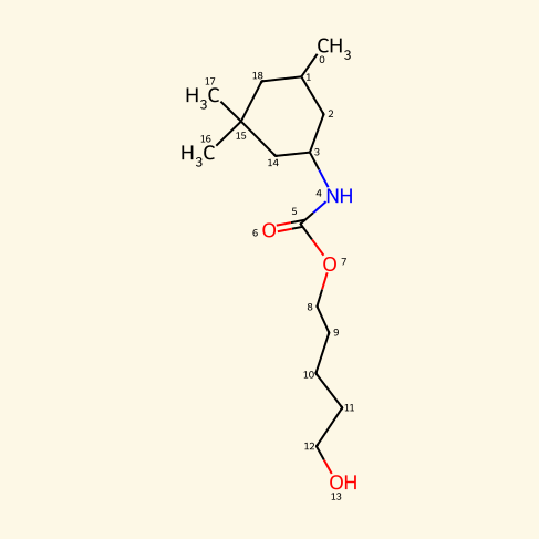 CC1CC(NC(=O)OCCCCCO)CC(C)(C)C1